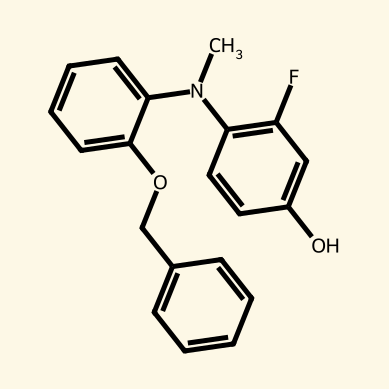 CN(c1ccc(O)cc1F)c1ccccc1OCc1ccccc1